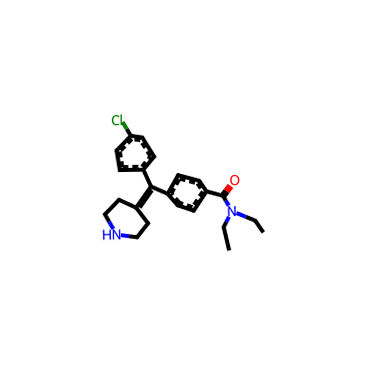 CCN(CC)C(=O)c1ccc(C(=C2CCNCC2)c2ccc(Cl)cc2)cc1